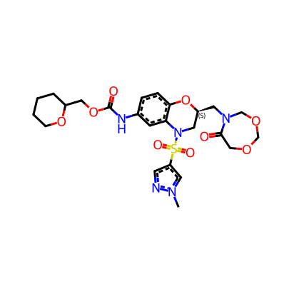 Cn1cc(S(=O)(=O)N2C[C@H](CN3COCOCC3=O)Oc3ccc(NC(=O)OCC4CCCCO4)cc32)cn1